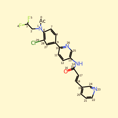 CC(=O)N(CC(F)F)c1ccc(-c2ccc(NC(=O)/C=C/c3cccnc3)cn2)cc1Cl